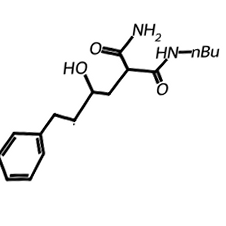 CCCCNC(=O)C(CC(O)[CH]Cc1ccccc1)C(N)=O